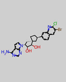 Nc1ncnc2c1ccn2[C@@H]1C[C@@]2(CC[C@@H](c3ccc4cc(Br)c(Cl)nc4c3)C2)[C@@H](O)[C@H]1O